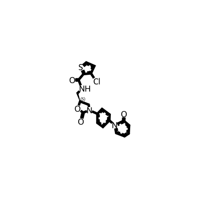 O=C(NC[C@H]1CN(c2ccc(-n3ccccc3=O)cc2)C(=O)O1)c1sccc1Cl